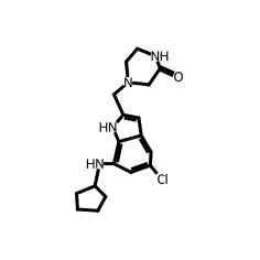 O=C1CN(Cc2cc3cc(Cl)cc(NC4CCCC4)c3[nH]2)CCN1